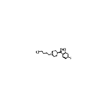 Fc1ccc2c(C3CCN(CCCCCl)CC3)noc2c1